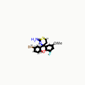 COc1cc(F)c2c(c1)C1(CCSC(N)=N1)c1cc(Br)ccc1O2